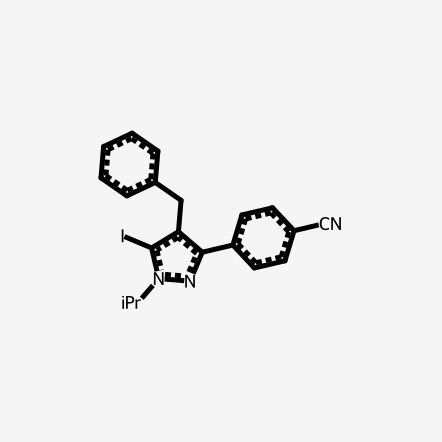 CC(C)n1nc(-c2ccc(C#N)cc2)c(Cc2ccccc2)c1I